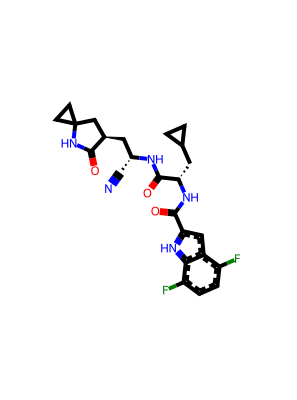 N#C[C@H](C[C@@H]1CC2(CC2)NC1=O)NC(=O)[C@H](CC1CC1)NC(=O)c1cc2c(F)ccc(F)c2[nH]1